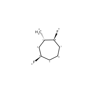 C[C@H]1C[C@H](F)CCC[C@@H]1F